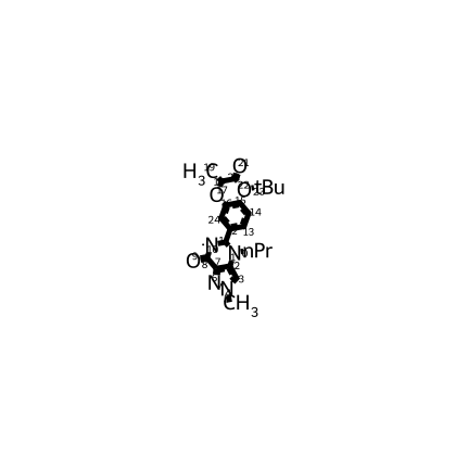 CCCN1c2cn(C)nc2C(=O)[N]C1c1cccc(OC(C)C(=O)OC(C)(C)C)c1